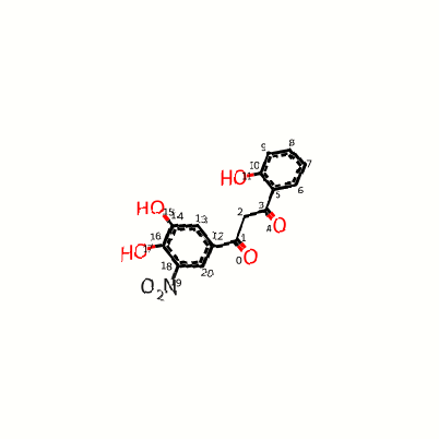 O=C(CC(=O)c1ccccc1O)c1cc(O)c(O)c([N+](=O)[O-])c1